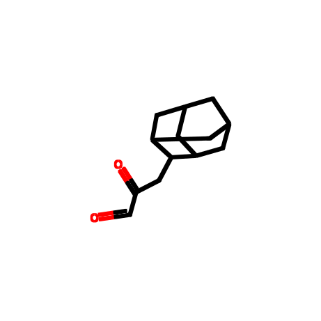 O=CC(=O)CC1C2CC3CC(C2)CC1C3